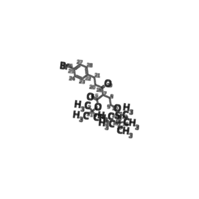 CC(C)(C)OC(=O)C(CCO[Si](C)(C)C(C)(C)C)C(=O)CCc1ccc(Br)cc1